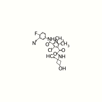 C#CC1(NC(=O)C(=O)c2c(Cl)c(C(=O)Nc3ccc(F)c(C#N)c3)n(C)c2C)CC(O)C1